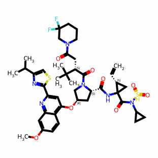 C=C[C@@H]1CC1(NC(=O)[C@@H]1C[C@@H](Oc2cc(-c3nc(C(C)C)cs3)nc3cc(OC)ccc23)CN1C(=O)[C@@H](CC(=O)N1CCCC(F)(F)C1)C(C)(C)C)C(=O)N(C1CC1)[SH](=O)=O